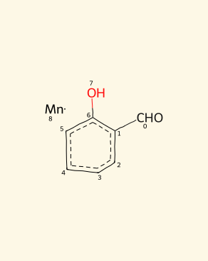 O=Cc1ccccc1O.[Mn]